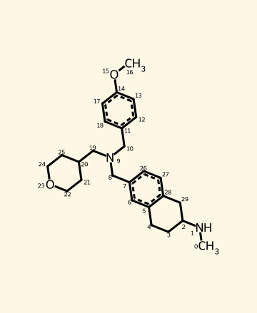 CNC1CCc2cc(CN(Cc3ccc(OC)cc3)CC3CCOCC3)ccc2C1